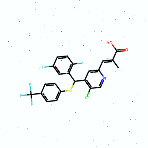 C/C(=C\c1cc(C(Sc2ccc(C(F)(F)F)cc2)c2cc(F)ccc2F)c(Cl)cn1)C(=O)O